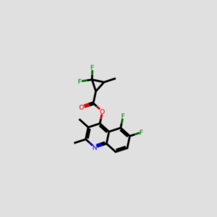 Cc1nc2ccc(F)c(F)c2c(OC(=O)C2C(C)C2(F)F)c1C